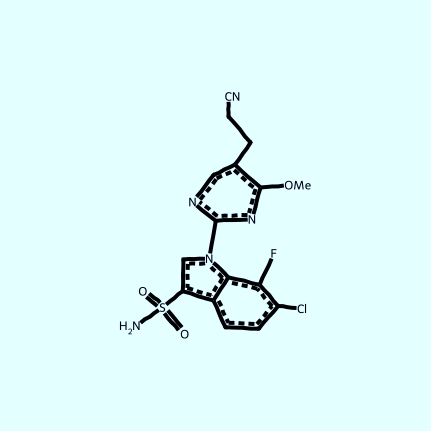 COc1nc(-n2cc(S(N)(=O)=O)c3ccc(Cl)c(F)c32)ncc1CCC#N